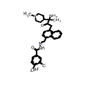 CN1CCC(C(C)(N)C(=O)Cc2ccc(/C=N/NC(=O)c3ccc(O)c(Cl)c3)c3ccccc23)CC1